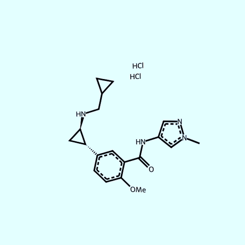 COc1ccc([C@@H]2C[C@H]2NCC2CC2)cc1C(=O)Nc1cnn(C)c1.Cl.Cl